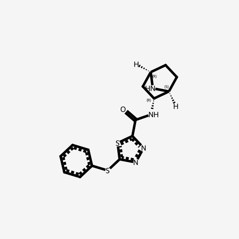 O=C(N[C@@H]1C[C@H]2CC[C@@H]1N2)c1nnc(Sc2ccccc2)s1